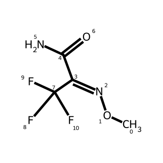 CON=C(C(N)=O)C(F)(F)F